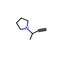 C#CC(C)N1CCCC1